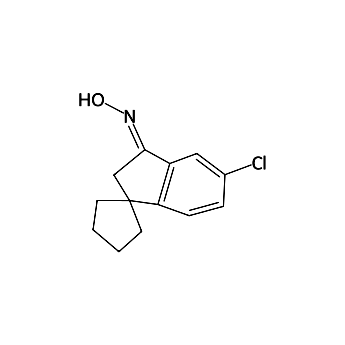 ON=C1CC2(CCCC2)c2ccc(Cl)cc21